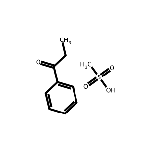 CCC(=O)c1ccccc1.CS(=O)(=O)O